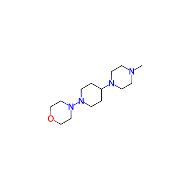 CN1CCN(C2CCN(N3CCOCC3)CC2)CC1